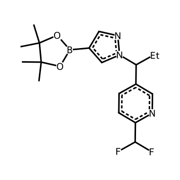 CCC(c1ccc(C(F)F)nc1)n1cc(B2OC(C)(C)C(C)(C)O2)cn1